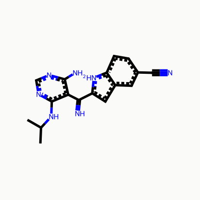 CC(C)Nc1ncnc(N)c1C(=N)c1cc2cc(C#N)ccc2[nH]1